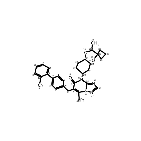 CCCc1c(Cc2ccc(-c3ccccc3C#N)cc2)c(=O)n([C@H]2CC[C@H](OC(C)C3(O)CCC3)CC2)c2ncnn12